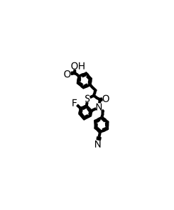 N#Cc1ccc(CN2C(=O)C(Cc3ccc(C(=O)O)cc3)Sc3c(F)cccc32)cc1